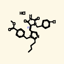 CCCCc1ncc(/C=C2/C(=O)NC(=O)N2Cc2ccc(Cl)cc2)n1Cc1ccc(C(=O)OC)cc1.Cl